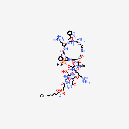 CCCCCCCCCCCCCCCC(=O)NS(=O)(=O)CCCC(=O)NCC(=O)NC(CO)C(=O)N[C@@H](CCC(N)=O)C(=O)NC(CCCNC(=N)N)C(=O)NC(CO)C(=O)N[C@@H](CCCC)C(=O)N[C@H]1CCC(=O)CNCCCC[C@@H](C(N)=O)NC(=O)[C@H](Cc2c[nH]c3ccccc23)NC(=O)[C@H](CCCNC(=N)N)NC(=O)[C@@H](Cc2ccccc2)NC(=O)C(CCS(C)(=O)=O)NC1=O